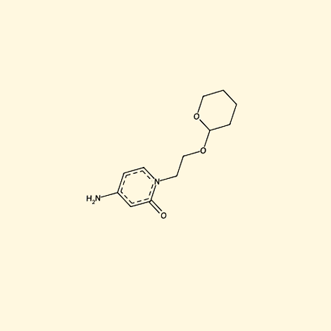 Nc1ccn(CCOC2CCCCO2)c(=O)c1